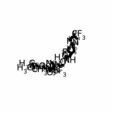 C[C@@H](CONC(=O)/C=C1/CCN(c2ncc(C(F)(F)F)cn2)CC1F)Nc1cnn(COCC[Si](C)(C)C)c(=O)c1C(F)(F)F